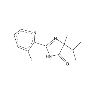 CC(C)C1(C)N=C(c2ncccc2I)NC1=O